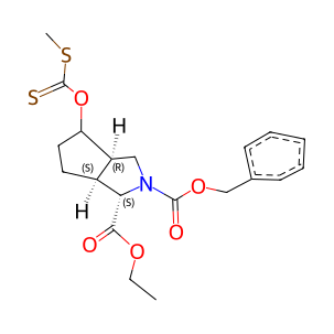 CCOC(=O)[C@@H]1[C@H]2CCC(OC(=S)SC)[C@H]2CN1C(=O)OCc1ccccc1